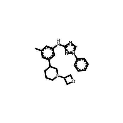 Cc1cc(Nc2ncn(-c3ccccc3)n2)cc(C2CCCN(C3COC3)C2)c1